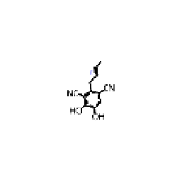 C/C=C/Cc1c(C#N)cc(O)c(O)c1C#N